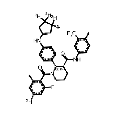 [2H]c1cc(C)c(C(=O)N2CCC[C@H](C(=O)Nc3ccc(C)c(C(F)(F)F)c3)[C@@H]2c2ccc(NC3CC([2H])([2H])C([2H])([2H])C3)cc2)c(F)c1